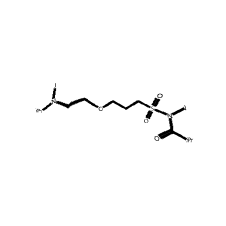 CC(C)C(=O)N(I)S(=O)(=O)CCCOCCN(I)C(C)C